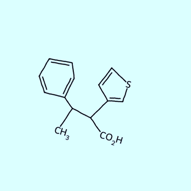 CC(c1ccccc1)C(C(=O)O)c1ccsc1